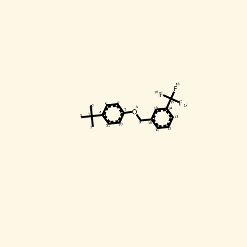 CC(C)(C)c1ccc(OCc2cccc(C(F)(F)F)c2)cc1